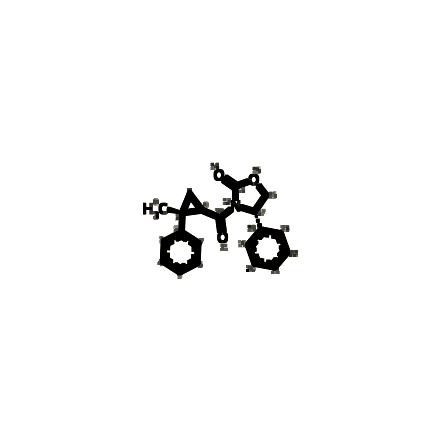 C[C@@]1(c2ccccc2)CC1C(=O)N1C(=O)OC[C@@H]1c1ccccc1